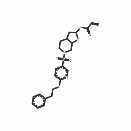 C=CC(=O)NC1CC2CCN(S(=O)(=O)c3ccc(OCCc4ccccc4)nc3)CC2O1